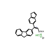 CCCCCC/C=C(/c1ccc2c(c1)C=CC2)c1ccc2c(c1)-c1ccccc1C2.Cl.Cl.[Zr]